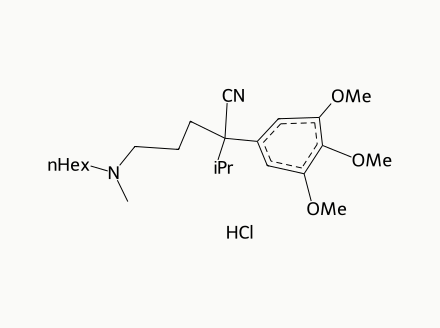 CCCCCCN(C)CCCC(C#N)(c1cc(OC)c(OC)c(OC)c1)C(C)C.Cl